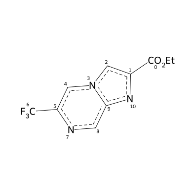 CCOC(=O)c1cn2cc(C(F)(F)F)ncc2n1